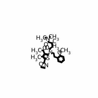 COc1ccccc1CCN(C(=O)CC(C)C(=O)N(C)C)c1sc(-c2ncco2)c(C)c1C(C)=O